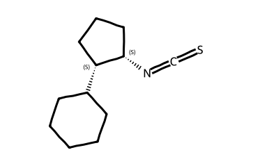 S=C=N[C@H]1CCC[C@H]1C1CCCCC1